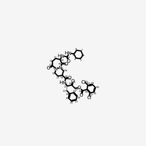 O=C(NC1CCCCC1)NC1CCC(=O)N2CCC(C(=O)N[C@@H](Cc3ccccc3)C(=O)COC(=O)c3c(Cl)cccc3Cl)CN2C1=O